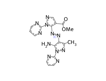 COC(=O)c1cnn(-c2ncccn2)c1/N=N/c1c(C)nn(-c2ncccn2)c1N